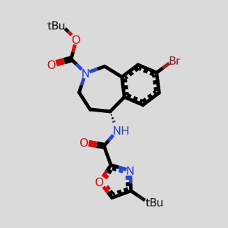 CC(C)(C)OC(=O)N1CC[C@@H](NC(=O)c2nc(C(C)(C)C)co2)c2ccc(Br)cc2C1